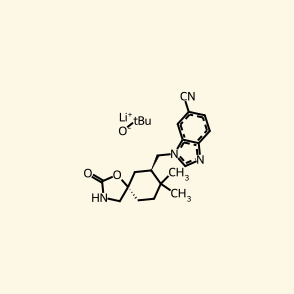 CC(C)(C)[O-].CC1(C)CC[C@@]2(CNC(=O)O2)C[C@H]1Cn1cnc2ccc(C#N)cc21.[Li+]